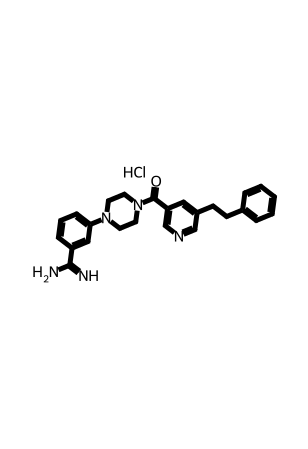 Cl.N=C(N)c1cccc(N2CCN(C(=O)c3cncc(CCc4ccccc4)c3)CC2)c1